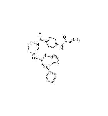 C=CC(=O)Nc1ccc(C(=O)N2CCC[C@@H](Nc3cc(-c4ccccc4)c4nccn4n3)C2)cc1